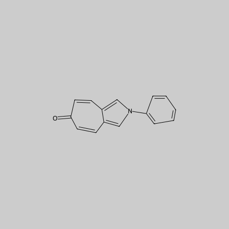 O=c1ccc2cn(-c3ccccc3)cc2cc1